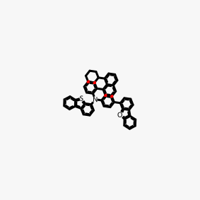 c1ccc(N(c2ccc(-c3cccc4c3oc3ccccc34)cc2)c2cccc3c2sc2ccccc23)c(-c2cccc3cccc(C4CCCCC4)c23)c1